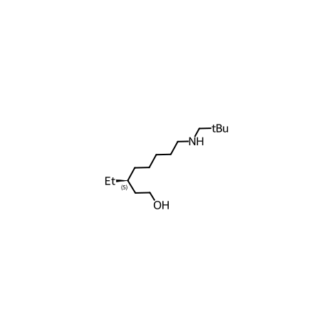 CC[C@H](CCO)CCCCCNCC(C)(C)C